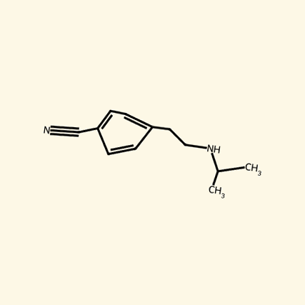 CC(C)NCCc1ccc(C#N)cc1